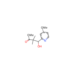 COC(=O)C(C)(C)C(O)c1cc(OC)ccn1